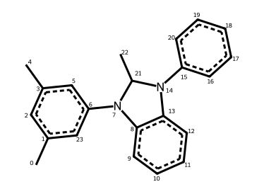 Cc1cc(C)cc(N2c3ccccc3N(c3ccccc3)C2C)c1